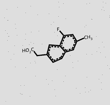 Cc1cc(F)c2cc(CC(=O)O)ccc2c1